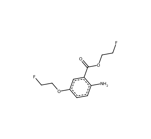 Nc1ccc(OCCF)cc1C(=O)OCCF